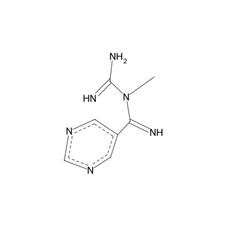 CN(C(=N)N)C(=N)c1cncnc1